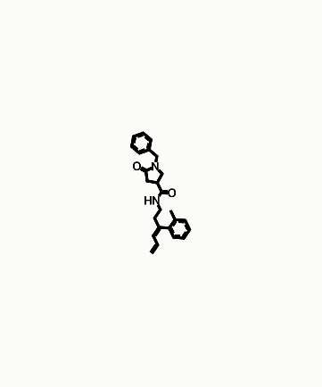 C=C/C=C(/CCNC(=O)C1CC(=O)N(Cc2ccccc2)C1)c1ccccc1C